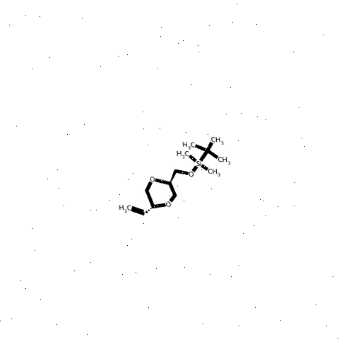 C=C[C@@H]1CO[C@@H](CO[Si](C)(C)C(C)(C)C)CO1